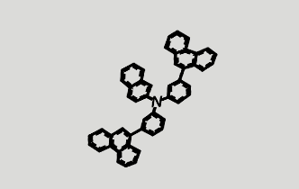 c1cc(-c2cc3ccccc3c3ccccc23)cc(N(c2cccc(-c3cc4ccccc4c4ccccc34)c2)c2ccc3ccccc3c2)c1